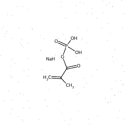 C=C(C)C(=O)OP(=O)(O)O.[NaH]